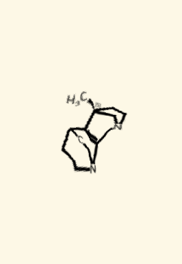 C[C@@]12CCN(C1)C1=C2C2CCN1CC2